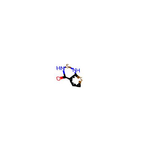 O=C1NSNc2sccc21